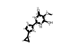 COc1c(O)[nH]c(-c2nc(C3CC3)cs2)nc1=O